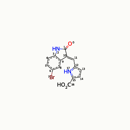 O=C1Nc2ccc(Br)cc2C1=Cc1ccc(C(=O)O)[nH]1